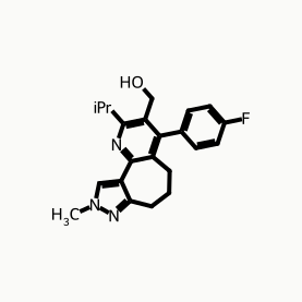 CC(C)c1nc2c(c(-c3ccc(F)cc3)c1CO)CCCc1nn(C)cc1-2